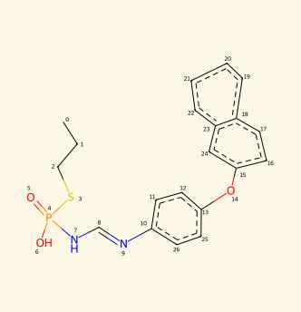 CCCSP(=O)(O)NC=Nc1ccc(Oc2ccc3ccccc3c2)cc1